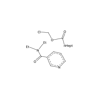 CCCCCCCC(=O)OCCl.CCN(CC)C(=O)c1cccnc1